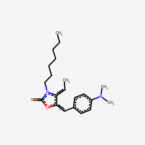 CC=c1/c(=C\c2ccc(N(C)C)cc2)oc(=S)n1CCCCCCC